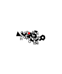 CCC[C@@H](C(=O)C(=O)NC1CC1)N1CC[C@H]2CN(C(=O)[C@@H](NC(=O)[C@H](CC3CCCCC3)NC(=O)c3cnccn3)C(C)(C)C)[C@H](C1=O)[C@H]2C